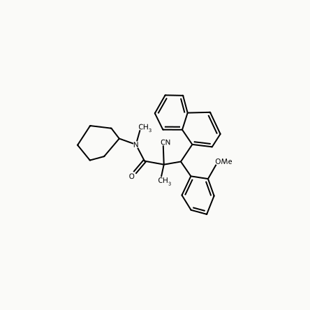 COc1ccccc1C(c1cccc2ccccc12)C(C)(C#N)C(=O)N(C)C1CCCCC1